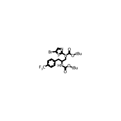 CC(C)(C)OC(=O)NC(Cc1ccc(C(F)(F)F)cc1)CN(C(=O)OC(C)(C)C)c1ncc(Br)s1